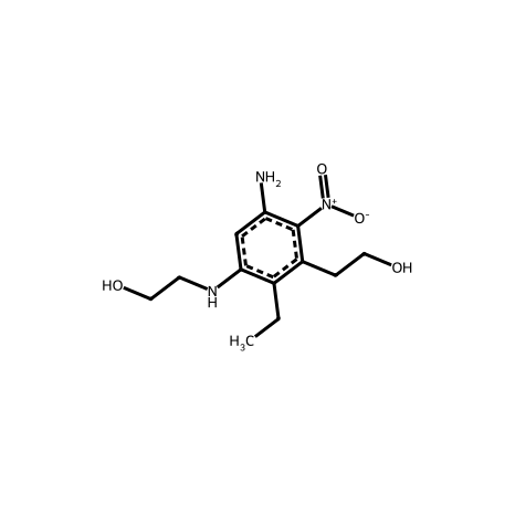 CCc1c(NCCO)cc(N)c([N+](=O)[O-])c1CCO